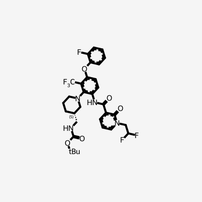 CC(C)(C)OC(=O)NC[C@@H]1CCCN(c2c(NC(=O)c3cccn(CC(F)F)c3=O)ccc(Oc3ccccc3F)c2C(F)(F)F)C1